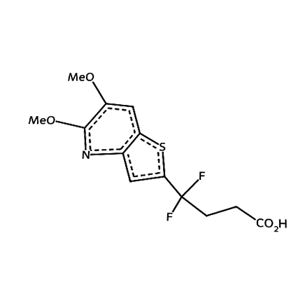 COc1cc2sc(C(F)(F)CCC(=O)O)cc2nc1OC